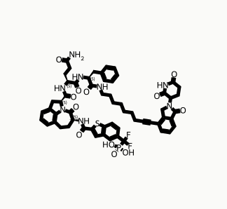 NC(=O)CC[C@H](NC(=O)[C@@H]1Cc2cccc3c2N1C(=O)[C@@H](NC(=O)c1cc2cc(C(F)(F)P(=O)(O)O)ccc2s1)CC3)C(=O)N[C@@H](Cc1ccccc1)C(=O)NCCCCCCCC#Cc1cccc2c1CN(C1CCC(=O)NC1=O)C2=O